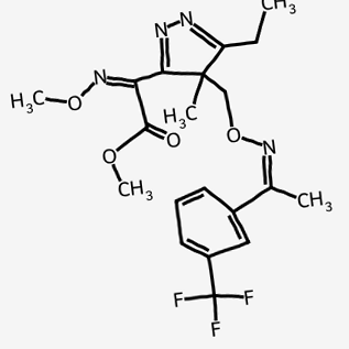 CCC1=NN=C(/C(=N/OC)C(=O)OC)C1(C)CO/N=C(/C)c1cccc(C(F)(F)F)c1